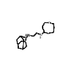 C1CCCC(NCCNC2C3CC4CC(C3)CC2C4)CCC1